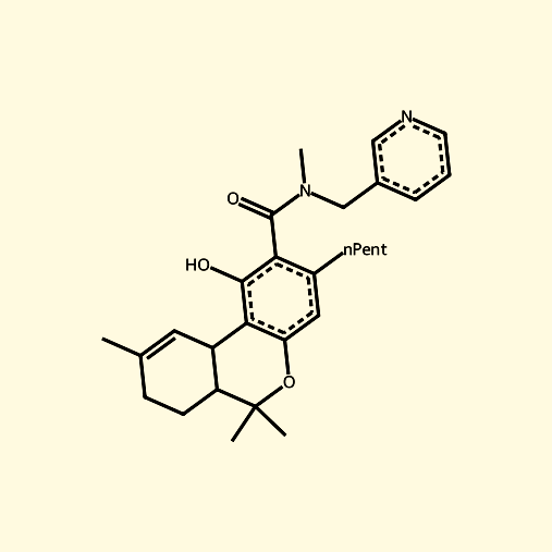 CCCCCc1cc2c(c(O)c1C(=O)N(C)Cc1cccnc1)C1C=C(C)CCC1C(C)(C)O2